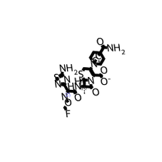 C[C@@]1(NC(=O)/C(=N\OCF)c2nsc(N)n2)C(=O)N2C(C(=O)[O-])=C([N+]34CCC(C(N)=O)(CC3)CC4)CS[C@H]21